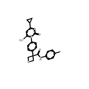 Cc1cc(C2CC2)nc(=O)n1-c1ccc(C2(C(=O)Nc3ccc(F)cc3)COC2)cc1